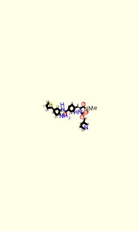 CNC(=O)[C@H](Cc1ccc(C(=O)Nc2cc(-c3cccs3)ccc2N)cc1)NC(=O)OCc1cccnc1